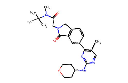 Cc1cnc(NC2CCOCC2)nc1-c1ccc2c(c1)C(=O)N(CC(=O)N(C)C(C)(C)C)C2